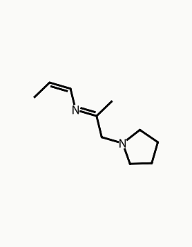 C/C=C\N=C(/C)CN1CCCC1